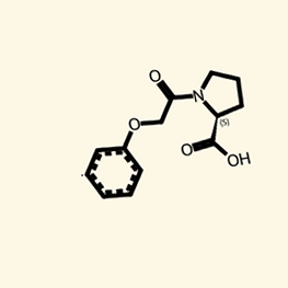 O=C(O)[C@@H]1CCCN1C(=O)COc1c[c]ccc1